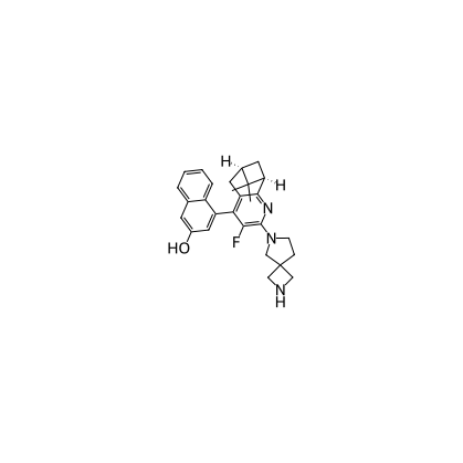 CC1(C)[C@H]2Cc3c(nc(N4CCC5(CNC5)C4)c(F)c3-c3cc(O)cc4ccccc34)[C@@H]1C2